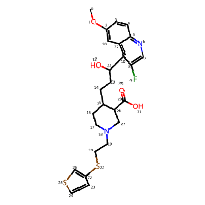 COc1ccc2ncc(F)c(C(O)CCC3CCN(CCSc4ccsc4)CC3C(=O)O)c2c1